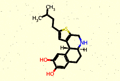 CC(C)CCc1cc2c(s1)CN[C@H]1CCc3cc(O)c(O)cc3[C@H]21